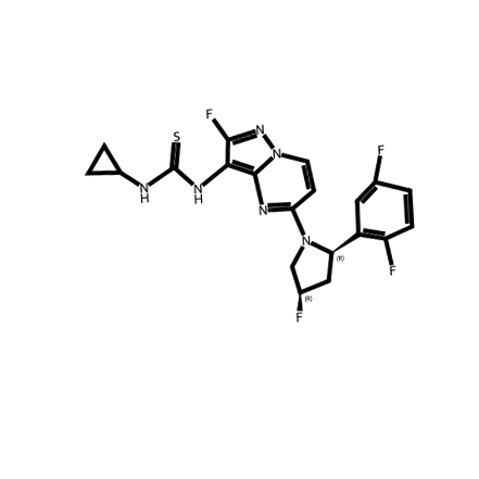 Fc1ccc(F)c([C@H]2C[C@@H](F)CN2c2ccn3nc(F)c(NC(=S)NC4CC4)c3n2)c1